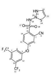 N#Cc1cc(Oc2cc(C(F)(F)F)cc(C(F)(F)F)c2)ccc1S(=O)(=O)NN1NC=CS1